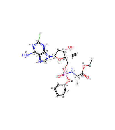 C#C[C@]1(CO[P@](=O)(N[C@@H](C)C(=O)OCC)Oc2ccccc2)O[C@@H](n2cnc3c(N)nc(F)nc32)C[C@@H]1O